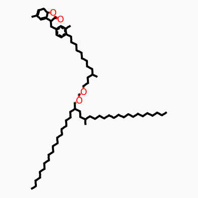 CCCCCCCCCCCCCCCCCCCC(CCC(C)CCCCCCCCCCCCCCCCC)COCOCCCC(C)CCCCCCCCCc1ccc(CC2C(=O)OC3CC=C(C)C=C32)cc1C